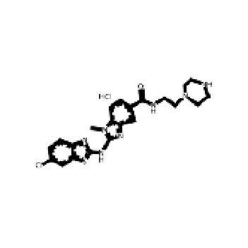 Cl.Cn1c(Nc2nc3ccc(Cl)cc3s2)nc2cc(C(=O)NCCN3CCNCC3)ccc21